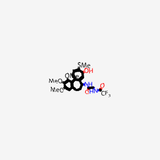 COc1cc2c(c(OC)c1OC)C1=CC=C(SC)C(O)C=C1C(NC(=O)CNC(=O)C(F)(F)F)CC2